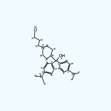 CN(C)c1ccc(C(O)(c2ccc(N(C)C)cc2)C2CCN(CCCCl)CC2)cc1